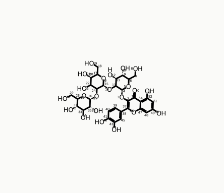 O=c1c(O[C@@H]2OC(CO)[C@@H](O)[C@H](O)C2O[C@@H]2OC(CO)[C@H](O)C(O)C2O[C@@H]2OC(CO)[C@@H](O)C(O)[C@H]2O)c(-c2ccc(O)c(O)c2)oc2cc(O)cc(O)c12